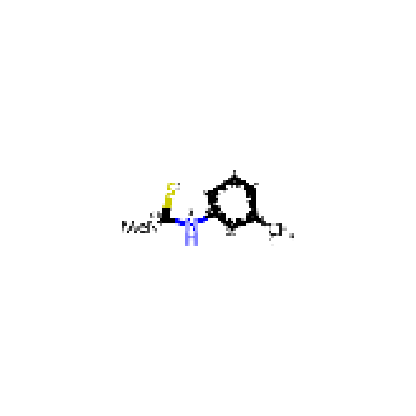 CNC(=S)Nc1cccc(C(F)(F)F)c1